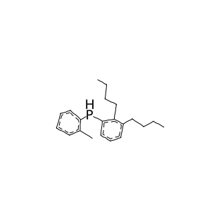 CCCCc1cccc(Pc2ccccc2C)c1CCCC